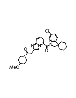 COC1CCN(C(=O)Cc2cn3c(C(=O)NCC4(c5ccc(Cl)cc5)CCCCC4)cccc3n2)CC1